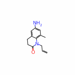 C=CCN1C(=O)CCc2cc(N)cc(C)c21